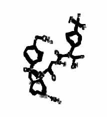 CSc1ccc(S(=O)(=O)C[C@@H]2CC[C@@H](N)C[C@@H]2NC(=O)CNC(=O)N(C(=O)O)c2ccc(C(F)(F)F)cc2)cc1